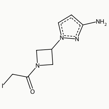 Nc1ccn(C2CN(C(=O)CI)C2)n1